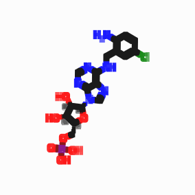 Nc1ccc(Cl)cc1CNc1ncnc2c1ncn2[C@@H]1O[C@H](COP(=O)(O)O)[C@@H](O)[C@H]1O